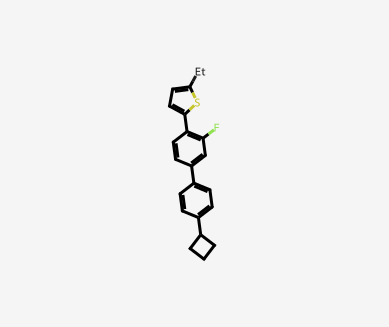 CCc1ccc(-c2ccc(-c3ccc(C4CCC4)cc3)cc2F)s1